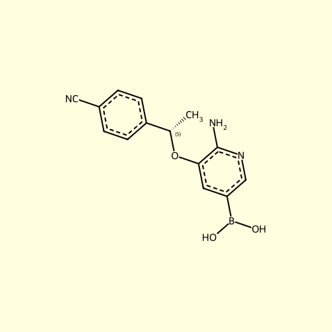 C[C@H](Oc1cc(B(O)O)cnc1N)c1ccc(C#N)cc1